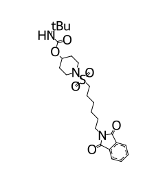 CC(C)(C)NC(=O)OC1CCN(S(=O)(=O)CCCCCCN2C(=O)c3ccccc3C2=O)CC1